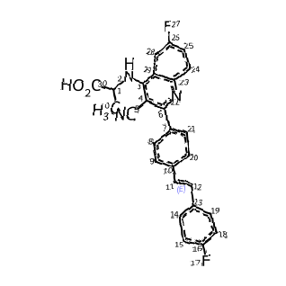 CC(Nc1c(C#N)c(-c2ccc(/C=C/c3ccc(F)cc3)cc2)nc2ccc(F)cc12)C(=O)O